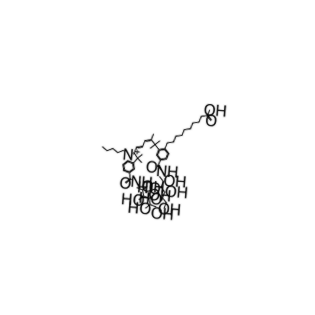 CCCCC[N+]1=C(/C=C/C=C(/C)C(C)(C)c2cc(C(=O)NCC(O)C(O)C(O)C(O)CO)ccc2CCCCCCCCCC(=O)O)C(C)(C)c2cc(C(=O)NCC(O)C(O)C(O)C(O)CO)ccc21